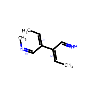 C/C=C(C=N)/C(/C=N\C)=C/C